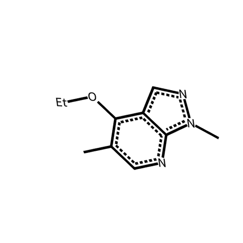 CCOc1c(C)cnc2c1cnn2C